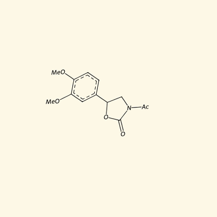 COc1ccc(C2CN(C(C)=O)C(=O)O2)cc1OC